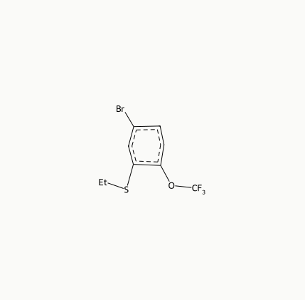 CCSc1cc(Br)ccc1OC(F)(F)F